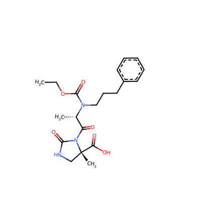 CCOC(=O)N(CCCc1ccccc1)[C@@H](C)C(=O)N1C(=O)NC[C@@]1(C)C(=O)O